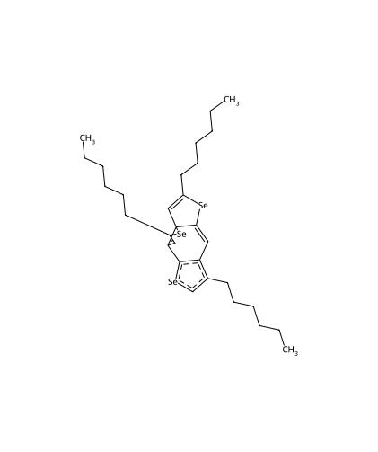 CCCCCCC1=CC23[Se]C(CCCCCC)C=C2c2[se]cc(CCCCCC)c2C=C3[Se]1